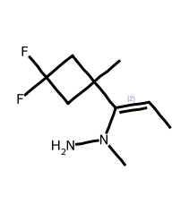 C/C=C(\N(C)N)C1(C)CC(F)(F)C1